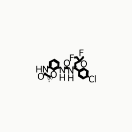 C[C@H]1Oc2c(NC(=O)N[C@@H]3CC(CF)(CF)Oc4cc(Cl)ccc43)cccc2NC1=O